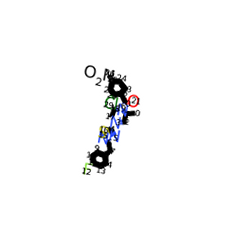 CC1CN(c2nc(Cc3ccc(F)cc3)ns2)CCN1C(=O)c1ccc([N+](=O)[O-])cc1Cl